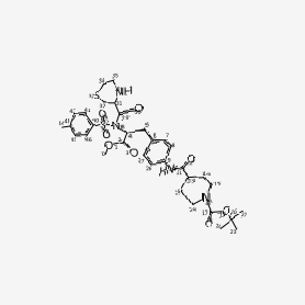 COC(=O)[C@H](Cc1ccc(NC(=O)C2CCN(C(=O)OC(C)(C)C)CC2)cc1)N(C(=O)C1CSCCN1)S(=O)(=O)c1ccc(C)cc1